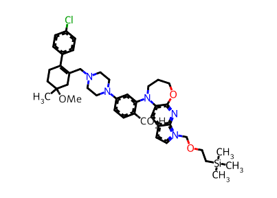 COC1(C)CCC(c2ccc(Cl)cc2)=C(CN2CCN(c3ccc(C(=O)O)c(N4CCCOc5nc6c(ccn6COCC[Si](C)(C)C)cc54)c3)CC2)C1